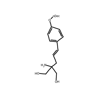 CCCCCCCCCCOc1ccc(C=CCC(N)(CO)CO)cc1